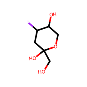 OCC1(O)CC(I)C(O)CO1